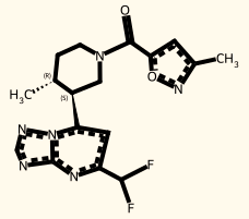 Cc1cc(C(=O)N2CC[C@@H](C)[C@H](c3cc(C(F)F)nc4ncnn34)C2)on1